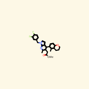 COC(=O)Cc1c(C)nc2c(ccn2Cc2ccc(F)c(F)c2)c1-c1ccc2c(c1C)CCCO2